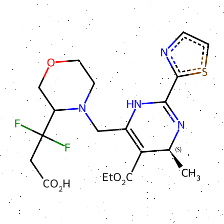 CCOC(=O)C1=C(CN2CCOCC2C(F)(F)CC(=O)O)NC(c2nccs2)=N[C@H]1C